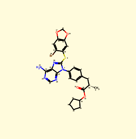 C[C@@H](Cc1ccc(-n2c(Sc3cc4c(cc3Br)OCO4)nc3c(N)ncnc32)cc1)C(=O)OC1CCCC1